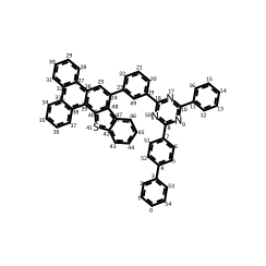 c1ccc(-c2ccc(-c3nc(-c4ccccc4)nc(-c4cccc(-c5cc6c7ccccc7c7ccccc7c6c6sc7ccccc7c56)c4)n3)cc2)cc1